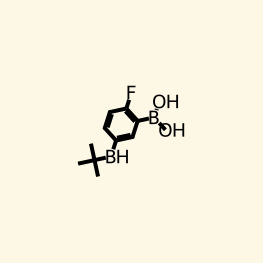 CC(C)(C)Bc1ccc(F)c(B(O)O)c1